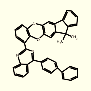 CC1(C)c2ccccc2-c2cc3c(cc21)Oc1c(cccc1-c1nc(-c2ccc(-c4ccccc4)cc2)c2ccccc2n1)O3